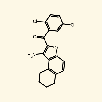 Nc1c(C(=O)c2cc(Cl)ccc2Cl)oc2ccc3c(c12)CCCC3